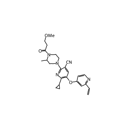 C=Cc1cc(Oc2cc(C#N)c(N3CCN(C(=O)CCOC)C(C)C3)nc2C2CC2)ccn1